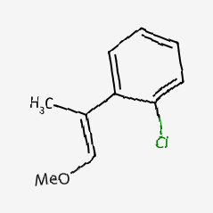 COC=C(C)c1ccccc1Cl